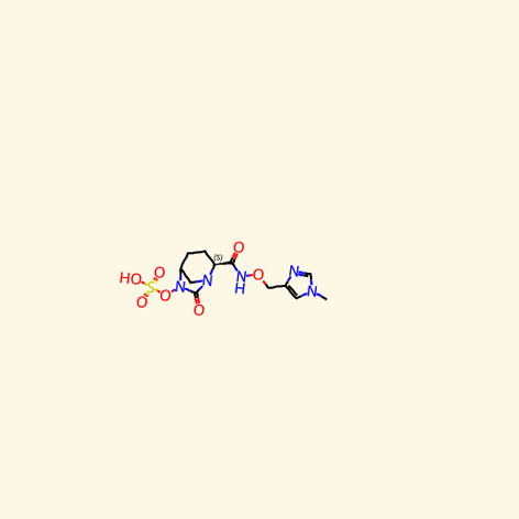 Cn1cnc(CONC(=O)[C@@H]2CCC3CN2C(=O)N3OS(=O)(=O)O)c1